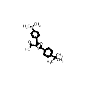 CN(C)c1ccc(-c2oc(-c3ccc(C(C)(C)C)cc3)nc2C(=O)O)cc1